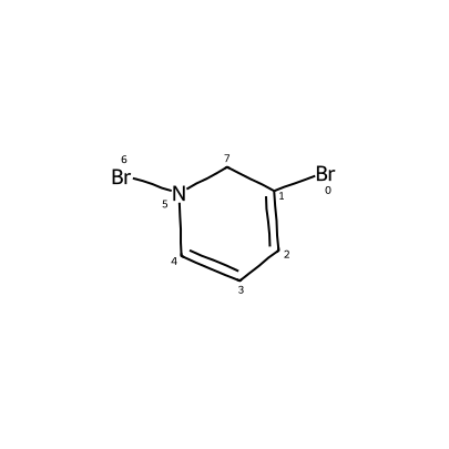 BrC1=CC=CN(Br)C1